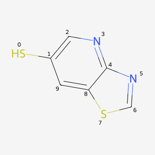 Sc1cnc2ncsc2c1